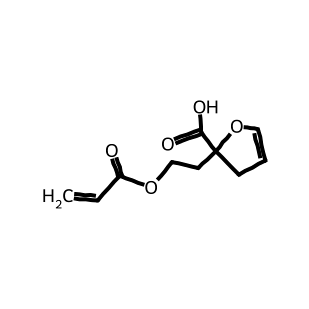 C=CC(=O)OCCC1(C(=O)O)CC=CO1